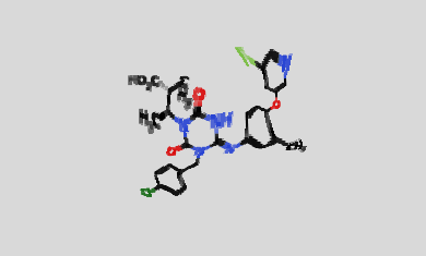 Cc1cc(/N=c2\[nH]c(=O)n([C@@H](C)[C@@H](C)C(=O)O)c(=O)n2Cc2ccc(Cl)cc2)ccc1Oc1cncc(F)c1